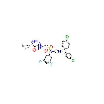 CC(N)C(=O)NCCS(=O)(=O)N(c1cc(F)cc(F)c1)C1CN(C(c2ccc(Cl)cc2)c2ccc(Cl)cc2)C1